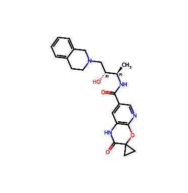 C[C@@H](NC(=O)c1cnc2c(c1)NC(=O)C1(CC1)O2)[C@H](O)CN1CCc2ccccc2C1